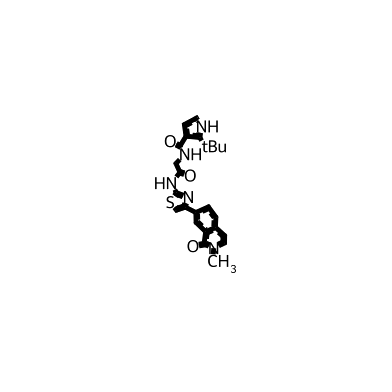 Cn1ccc2ccc(-c3csc(NC(=O)CNC(=O)c4cc[nH]c4C(C)(C)C)n3)cc2c1=O